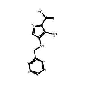 CC(O)n1ncc(NCc2ccccc2)c1N